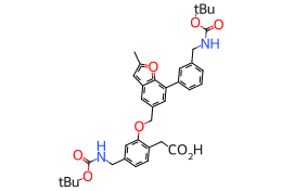 Cc1cc2cc(COc3cc(CNC(=O)OC(C)(C)C)ccc3CC(=O)O)cc(-c3cccc(CNC(=O)OC(C)(C)C)c3)c2o1